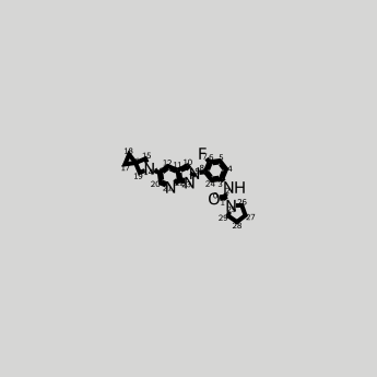 O=C(Nc1ccc(F)c(-n2cc3cc(N4CC5(CC5)C4)cnc3n2)c1)N1CCCC1